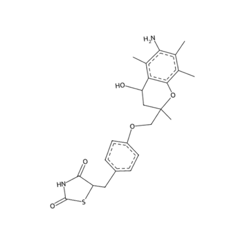 Cc1c(C)c2c(c(C)c1N)C(O)CC(C)(COc1ccc(CC3SC(=O)NC3=O)cc1)O2